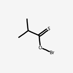 CC(C)C(=S)OBr